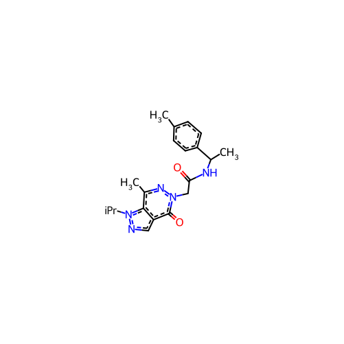 Cc1ccc(C(C)NC(=O)Cn2nc(C)c3c(cnn3C(C)C)c2=O)cc1